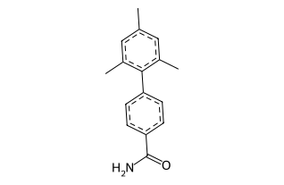 Cc1cc(C)c(-c2ccc(C(N)=O)cc2)c(C)c1